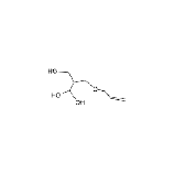 C=CCOCC(CO)C(O)O